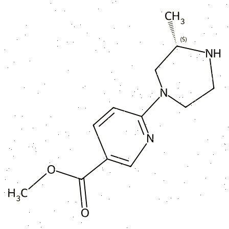 COC(=O)c1ccc(N2CCN[C@@H](C)C2)nc1